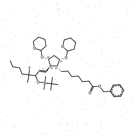 CCCCC(F)(F)C(/C=C/[C@@H]1[C@@H](CCCCCCC(=O)OCc2ccccc2)[C@@H](OC2CCCCO2)C[C@H]1OC1CCCCO1)O[Si](C)(C)C(C)(C)C